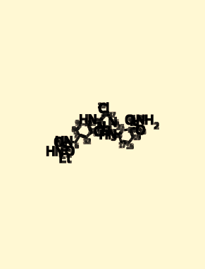 CCNS(=O)(=O)NCc1ccc(Nc2nc(Nc3cccc(S(N)(=O)=O)c3)ncc2Cl)c(C)c1